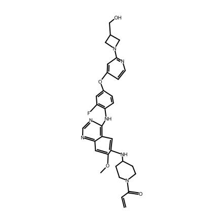 C=CC(=O)N1CCC(Nc2cc3c(Nc4ccc(Oc5ccnc(N6CC(CO)C6)c5)cc4F)ncnc3cc2OC)CC1